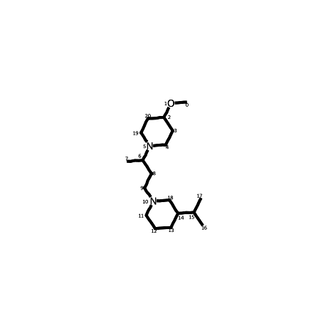 COC1CCN(C(C)CCN2CCCC(C(C)C)C2)CC1